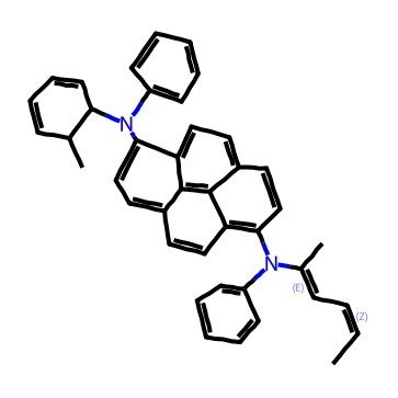 C/C=C\C=C(/C)N(c1ccccc1)c1ccc2ccc3c(N(c4ccccc4)C4C=CC=CC4C)ccc4ccc1c2c43